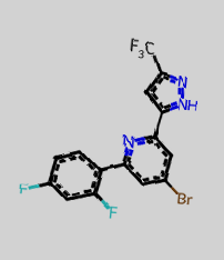 Fc1ccc(-c2cc(Br)cc(-c3cc(C(F)(F)F)n[nH]3)n2)c(F)c1